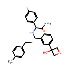 CNC(=O)C(N[C@@H](CCc1ccc(C(F)(F)F)cc1)c1cccc(C2(O)COC2)c1)c1ccc(F)cc1